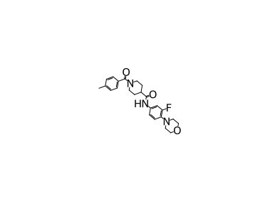 Cc1ccc(C(=O)N2CCC(C(=O)Nc3ccc(N4CCOCC4)c(F)c3)CC2)cc1